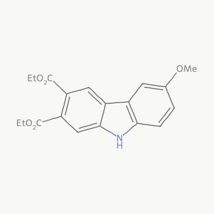 CCOC(=O)c1cc2[nH]c3ccc(OC)cc3c2cc1C(=O)OCC